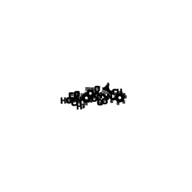 C[C@@H](C1CC1)N(Cc1ccccc1)C(=O)CN1C(=O)OC2(CCc3cc(NC(=O)C(C)(C)O)ccc32)C1=O